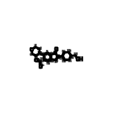 O=C1c2cc(N3CCOCC3)c([N+](=O)[O-])cc2CN1C1CCC(CO)CC1